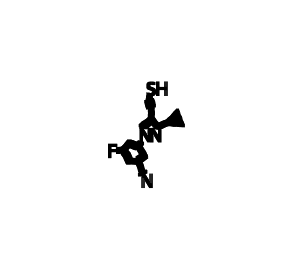 N#Cc1cc(F)cc(-n2cc(C#CS)c(C3CC3)n2)c1